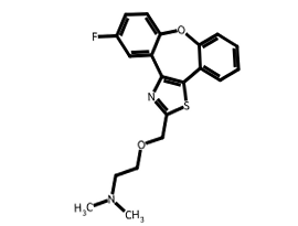 CN(C)CCOCc1nc2c(s1)-c1ccccc1Oc1ccc(F)cc1-2